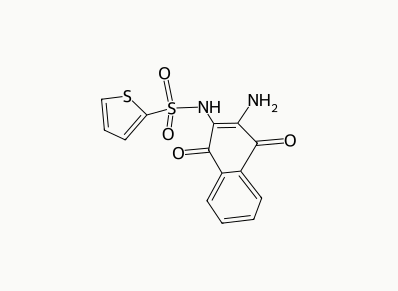 NC1=C(NS(=O)(=O)c2cccs2)C(=O)c2ccccc2C1=O